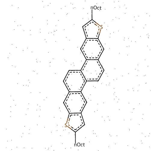 CCCCCCCCc1cc2cc3c(ccc4c5cc6cc(CCCCCCCC)sc6cc5ccc34)cc2s1